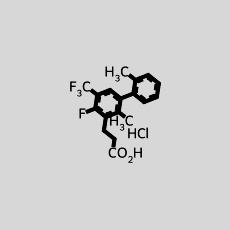 Cc1ccccc1-c1cc(C(F)(F)F)c(F)c(CCC(=O)O)c1C.Cl